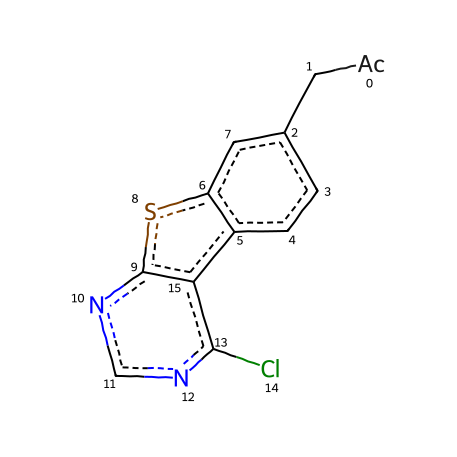 CC(=O)Cc1ccc2c(c1)sc1ncnc(Cl)c12